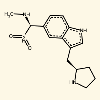 CN[C@@H](c1ccc2[nH]cc(C[C@H]3CCCN3)c2c1)[SH](=O)=O